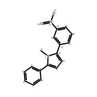 [CH2]n1c(-c2ccccc2)ccc1-c1cccc([N+](=O)[O-])c1